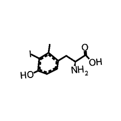 Cc1c(C[C@H](N)C(=O)O)ccc(O)c1I